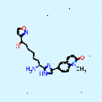 Cn1c(=O)ccc2cc(-c3c[nH]c([C@@H](N)CCCCCC(=O)c4ccon4)n3)ccc21